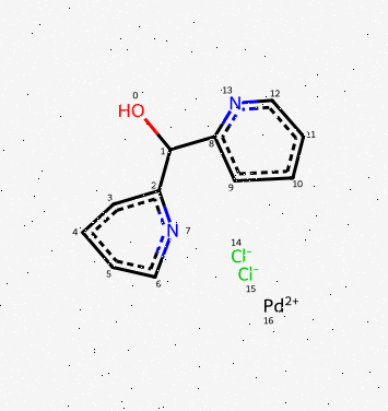 OC(c1ccccn1)c1ccccn1.[Cl-].[Cl-].[Pd+2]